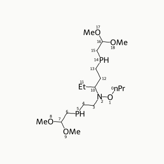 CCCON(CCPCC(OC)OC)C(CC)CCPCC(OC)OC